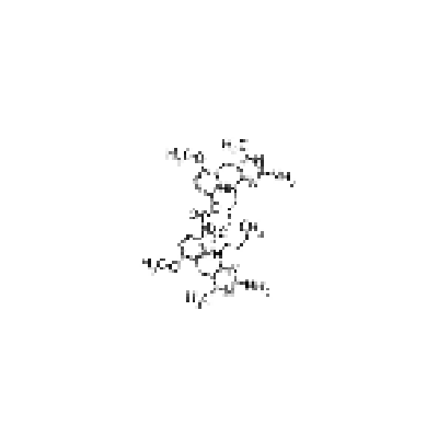 CCCCNc1nc(N)nc(C)c1Cc1cc(O[PH](=O)Oc2ccc(OC)c(Cc3c(C)nc(N)nc3NCCCC)c2)ccc1OC